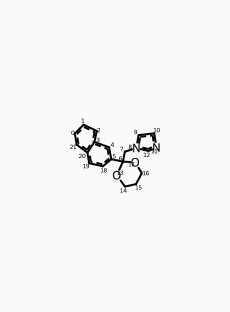 c1ccc2cc(C3(Cn4ccnc4)OCCCO3)ccc2c1